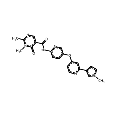 Cc1ncc(C(=O)Nc2ccc(Oc3ccnc(-c4ccn(C)c4)c3)cn2)c(=O)n1C